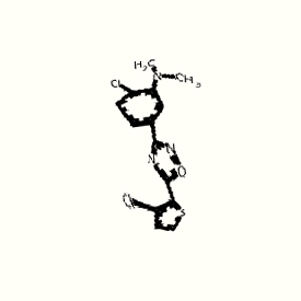 CN(C)c1cc(-c2noc(-c3sccc3Cl)n2)ccc1Cl